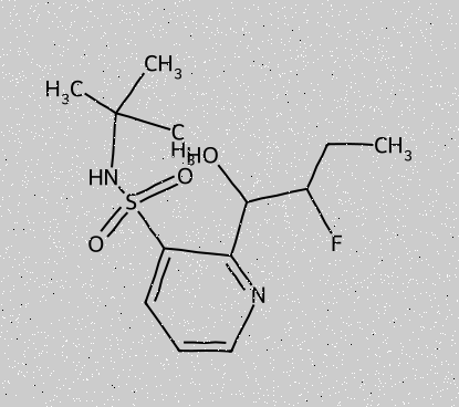 CCC(F)C(O)c1ncccc1S(=O)(=O)NC(C)(C)C